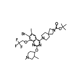 CC1CN(C)CCC1Oc1nc(N2CCC3(CC2)CN(C(=O)OC(C)(C)C)C3)c2cc(I)c(Br)c(OCC(F)(F)F)c2n1